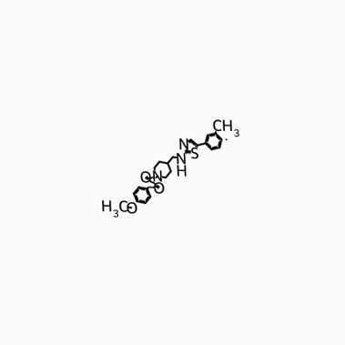 COc1ccc(S(=O)(=O)N2CCC(CNc3ncc(-c4cc[c]c(C)c4)s3)CC2)cc1